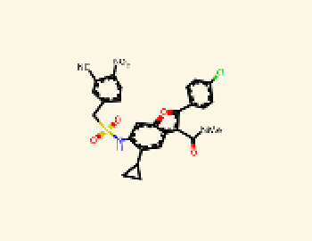 CNC(=O)c1c(-c2ccc(Cl)cc2)oc2cc(NS(=O)(=O)Cc3ccc([N+](=O)[O-])c(C#N)c3)c(C3CC3)cc12